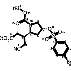 CCOC(=O)CC(CC#N)[C@@H]1C[C@@H](OS(=O)(=O)c2ccc(Br)cc2)CN1C(=O)OC(C)(C)C